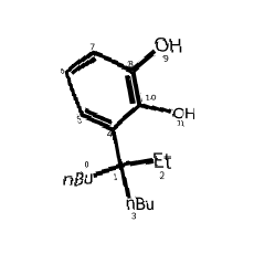 CCCCC(CC)(CCCC)c1cccc(O)c1O